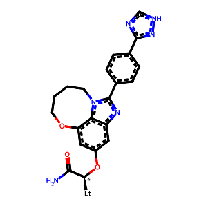 CC[C@H](Oc1cc2c3c(c1)nc(-c1ccc(-c4nc[nH]n4)cc1)n3CCCCO2)C(N)=O